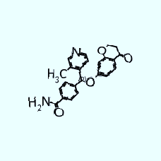 Cc1cnccc1[C@H](Oc1ccc2c(c1)OCCC2=O)c1ccc(C(N)=O)cc1